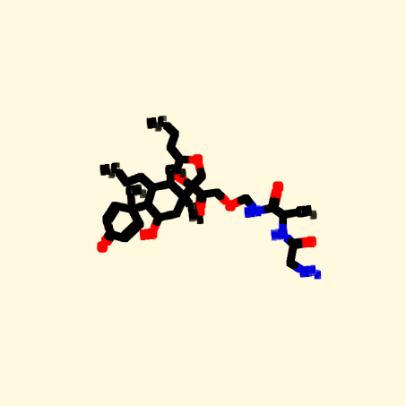 CCCC1OCC(C(=O)COCNC(=O)C(C)NC(=O)CN)(C2(C)CC(O)C(C3(C)C=CC(=O)C=C3)C(CCC)C2C)O1